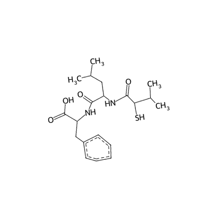 CC(C)CC(NC(=O)C(S)C(C)C)C(=O)NC(Cc1ccccc1)C(=O)O